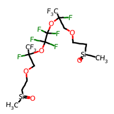 C[Si](=O)CCOCC(F)(OC(F)(F)C(F)(F)OC(F)(COCC[Si](C)=O)C(F)(F)F)C(F)(F)F